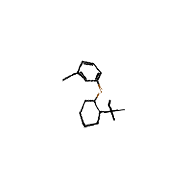 Cc1cccc(SC2CCCCC2C(C)(C)C)c1